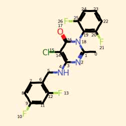 Cc1nc(NCc2ccc(F)cc2F)c(Cl)c(=O)n1-c1c(F)cccc1F